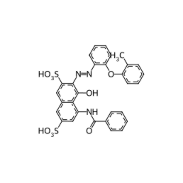 Cc1ccccc1Oc1ccccc1N=Nc1c(S(=O)(=O)O)cc2cc(S(=O)(=O)O)cc(NC(=O)c3ccccc3)c2c1O